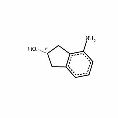 Nc1cccc2c1C[C@@H](O)C2